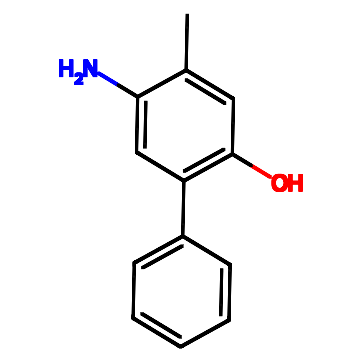 Cc1cc(O)c(-c2ccccc2)cc1N